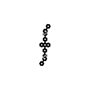 c1ccc(-c2ccc3nc(-c4ccc(-c5c6ccccc6c(-c6ccc(-c7cn8cc(-c9ccccc9)ccc8n7)cc6)c6ccccc56)cc4)cn3c2)cc1